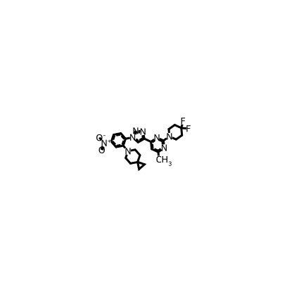 Cc1cc(-c2cn(-c3ccc([N+](=O)[O-])cc3N3CCC4(CC3)CC4)nn2)nc(N2CCC(F)(F)CC2)n1